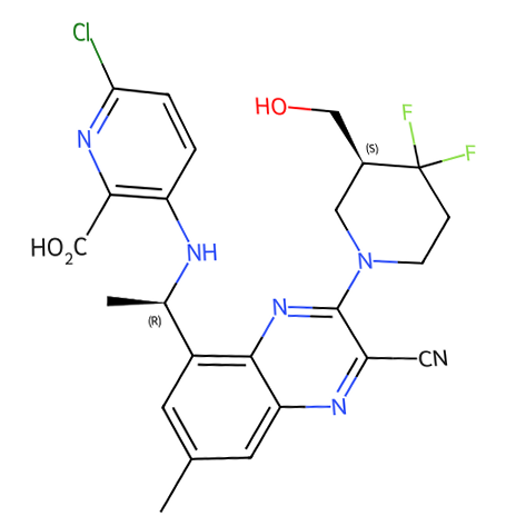 Cc1cc([C@@H](C)Nc2ccc(Cl)nc2C(=O)O)c2nc(N3CCC(F)(F)[C@H](CO)C3)c(C#N)nc2c1